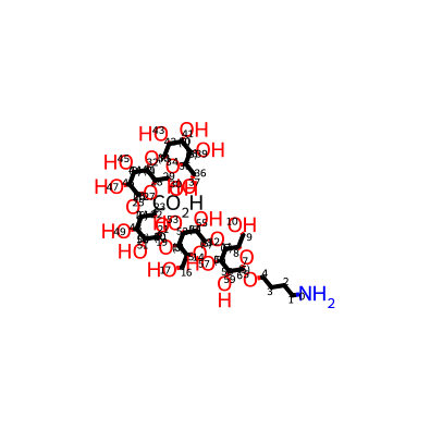 NCCCCO[C@H]1OC(CO)[C@@H](O[C@@H]2OC(CO)[C@@H](O[C@@H]3OC(C(=O)O)[C@@H](O[C@H]4OC(CO)[C@H](O[C@H]5OC(CO)[C@@H](O)[C@H](O)C5O)[C@H](O)C4O)C(O)[C@@H]3O)C(O)[C@@H]2O)[C@H](O)C1O